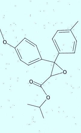 COc1ccc(C2(c3ccc(C)cc3)OC2C(=O)OC(C)C)cc1